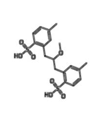 COC(Cc1cc(C)ccc1S(=O)(=O)O)Cc1cc(C)ccc1S(=O)(=O)O